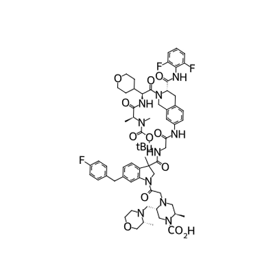 C[C@@H]1COCCN1C[C@H]1CN(C(=O)O)[C@H](C)CN1CC(=O)N1CC(C)(C(=O)NCC(=O)Nc2ccc3c(c2)CN(C(=O)[C@@H](NC(=O)[C@H](C)N(C)C(=O)OC(C)(C)C)C2CCOCC2)[C@H](C(=O)Nc2c(F)cccc2F)C3)c2ccc(Cc3ccc(F)cc3)cc21